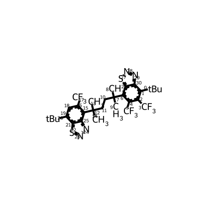 CC(C)(C)c1c(C(F)(F)F)c(C(F)(F)F)c(C(C)(C)CCC(C)(C)c2c(C(F)(F)F)cc(C(C)(C)C)c3snnc23)c2snnc12